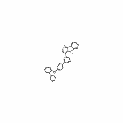 c1cc(-c2ccc(-n3c4ccccc4c4ccccc43)cc2)cc(-c2ccnc3c2oc2ccccc23)c1